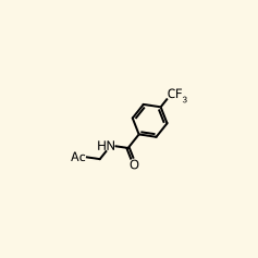 CC(=O)CNC(=O)c1ccc(C(F)(F)F)cc1